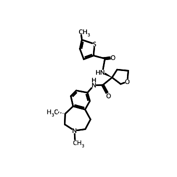 Cc1ccc(C(=O)N[C@@]2(C(=O)Nc3ccc4c(c3)CCN(C)C[C@@H]4C)CCOC2)s1